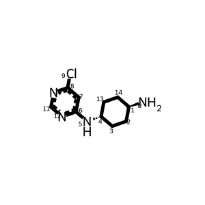 N[C@H]1CC[C@H](Nc2cc(Cl)ncn2)CC1